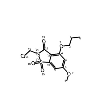 CCCOc1cc(OC)cc2c1C(=O)N(CCl)S2(=O)=O